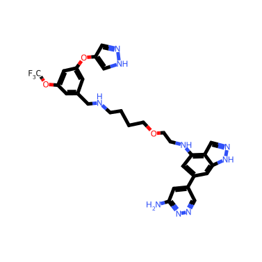 Nc1cc(-c2cc(NCCOCCCCNCc3cc(Oc4cn[nH]c4)cc(OC(F)(F)F)c3)c3cn[nH]c3c2)cnn1